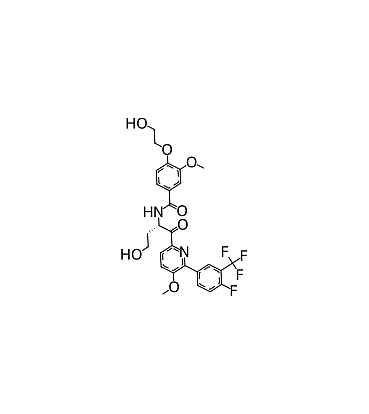 COc1cc(C(=O)N[C@@H](CCO)C(=O)c2ccc(OC)c(-c3ccc(F)c(C(F)(F)F)c3)n2)ccc1OCCO